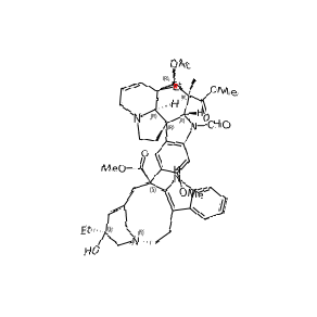 CCC12C=CCN3CC[C@@]4(c5cc([C@@]6(C(=O)OC)CC7C[N@](CCc8c6[nH]c6ccccc86)C[C@](O)(CC)C7)c(OC)cc5N(C=O)[C@H]4[C@@](C)(C(=O)OC)[C@@H]1OC(C)=O)[C@@H]32